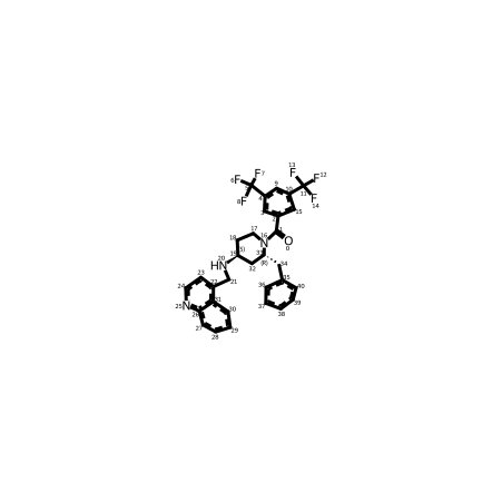 O=C(c1cc(C(F)(F)F)cc(C(F)(F)F)c1)N1CC[C@H](NCc2ccnc3ccccc23)C[C@H]1Cc1ccccc1